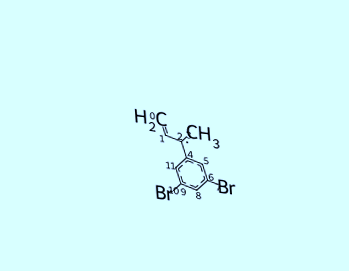 C=C[C](C)c1cc(Br)cc(Br)c1